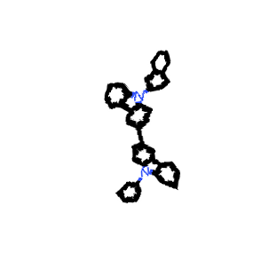 C1=Cc2ccc(-n3c4ccccc4c4cc(-c5ccc6c(c5)c5ccccc5n6-c5ccccc5)ccc43)cc2CC1